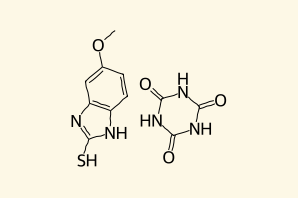 COc1ccc2[nH]c(S)nc2c1.O=c1[nH]c(=O)[nH]c(=O)[nH]1